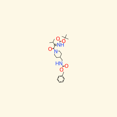 CC(C)[C@H](NC(=O)OC(C)(C)C)C(=O)N1CCC(CNC(=O)OCc2ccccc2)CC1